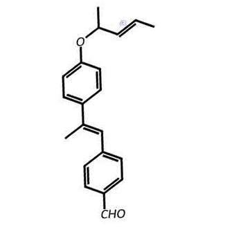 C/C=C/C(C)Oc1ccc(C(C)=Cc2ccc(C=O)cc2)cc1